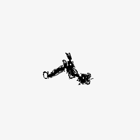 N#Cc1ccc2c(c1)c(C(=O)CCCCl)cn2S(=O)(=O)CC=Cc1ccc([N+](=O)[O-])cc1